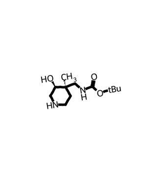 CC(C)(C)OC(=O)NC[C@@]1(C)CCNC[C@H]1O